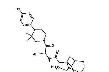 CC(C)[C@@H](NC(=O)CC12CC3CCC(C1)C2(CC(=O)O)C3)C(=O)N1CCC(c2ccc(Cl)cc2)C(C)(C)C1